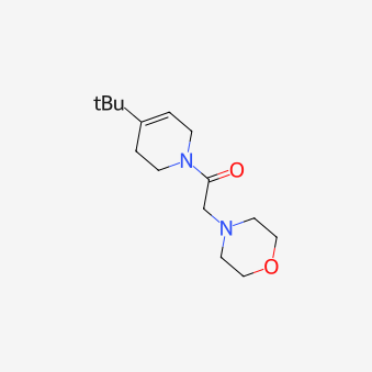 CC(C)(C)C1=CCN(C(=O)CN2CCOCC2)CC1